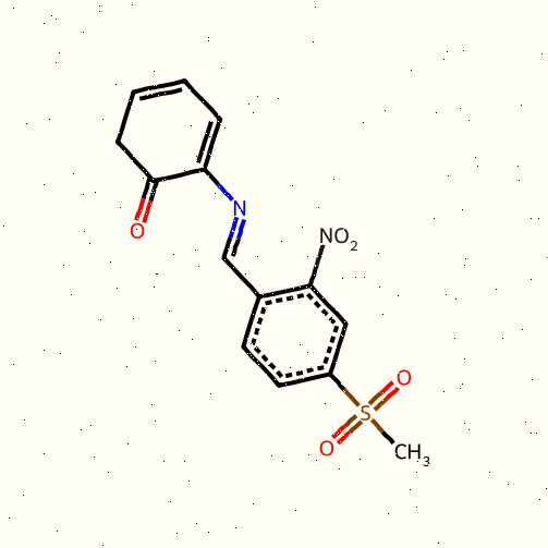 CS(=O)(=O)c1ccc(C=NC2=CC=CCC2=O)c([N+](=O)[O-])c1